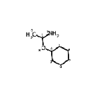 CC(N)OC1CCCCC1